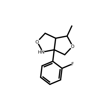 CC1OCC2(c3ccccc3F)NOCC12